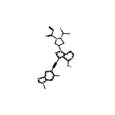 C=CC(=O)N1CC(n2nc(C#Cc3cc4ncn(C)c4cc3F)c3c(N)nccc32)C[C@@H]1C(F)F